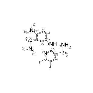 C=C(N)c1cc(C)c(C)nc1Nc1ccc(N(C)C)c(C(=C)N(C)C)c1